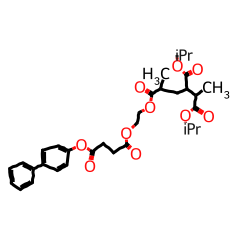 CC(C)OC(=O)C(C)C(CC(C)C(=O)OCCOC(=O)CCC(=O)Oc1ccc(-c2ccccc2)cc1)C(=O)OC(C)C